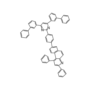 c1ccc(-c2cccc(-c3cc(-c4cccc(-c5ccccc5)c4)nc(-c4ccc(-c5ccc6c(ccc7nc(-c8ccccc8)cc(-c8ccccc8)c76)c5)cc4)n3)c2)cc1